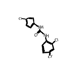 O=C(Nc1ccc(Cl)cc1)Nc1ccc(Cl)cc1Cl